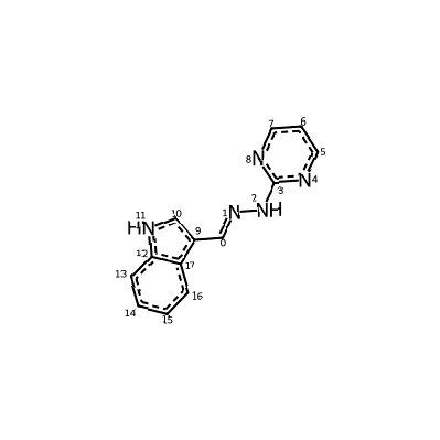 C(=NNc1ncccn1)c1c[nH]c2ccccc12